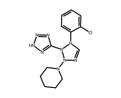 Clc1ccccc1N1C=NN(N2CCCCC2)N1c1nn[nH]n1